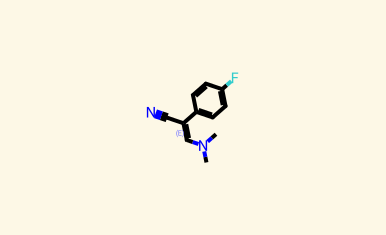 CN(C)/C=C(/C#N)c1ccc(F)cc1